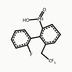 O=[PH](O)c1cccc(CC(F)(F)F)c1-c1ccccc1F